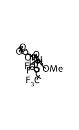 COCCn1nc(C(=O)NCC2(O)CCC(S(C)(=O)=O)CC2)c(C)c1-c1ccc(CC(C)(C)C(F)(F)F)cc1OC(F)F